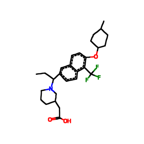 CCC(c1ccc2c(C(F)(F)F)c(OC3CCC(C)CC3)ccc2c1)N1CCCC(CC(=O)O)C1